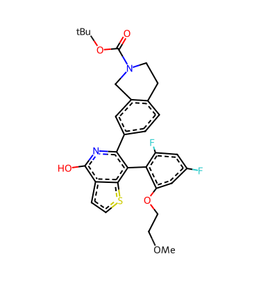 COCCOc1cc(F)cc(F)c1-c1c(-c2ccc3c(c2)CN(C(=O)OC(C)(C)C)CC3)nc(O)c2ccsc12